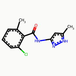 Cc1cc(NC(=O)c2c(C)cccc2Cl)n[nH]1